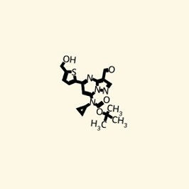 CC(C)(C)OC(=O)N(c1cc(-c2ccc(CO)s2)nc2c(C=O)cnn12)C1CC1